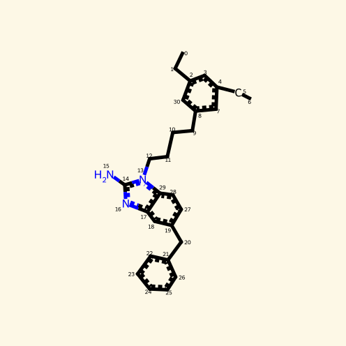 CCc1cc(CC)cc(CCCCn2c(N)nc3cc(Cc4ccccc4)ccc32)c1